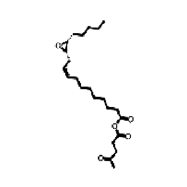 CCCCC[C@H]1O[C@H]1C/C=C\CCCCCCCC(=O)OC(=O)CCC(C)=O